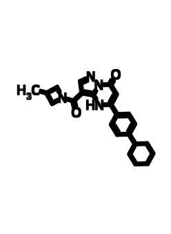 CC1CN(C(=O)c2cnn3c(=O)cc(-c4ccc(C5CCCCC5)cc4)[nH]c23)C1